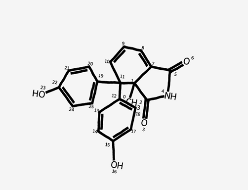 CC12C(=O)NC(=O)C1=CC=CC2(c1ccc(O)cc1)c1ccc(O)cc1